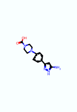 Nc1cc(-c2ccc(N3CCN(C(=O)O)CC3)cc2)n[nH]1